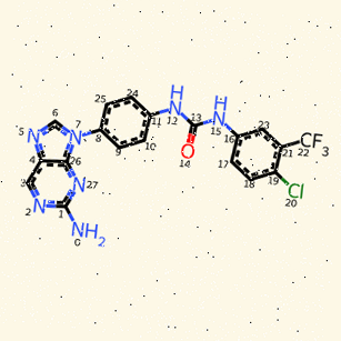 Nc1ncc2ncn(-c3ccc(NC(=O)Nc4ccc(Cl)c(C(F)(F)F)c4)cc3)c2n1